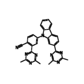 Cc1nc(C)nc(-c2ccc3c4ccccc4n(-c4ccc(C#N)c(-c5nc(C)nc(C)n5)c4)c3c2)n1